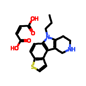 CCCn1c2c(c3c4ccsc4ccc31)CNCC2.O=C(O)/C=C\C(=O)O